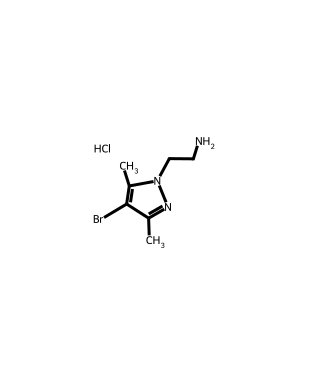 Cc1nn(CCN)c(C)c1Br.Cl